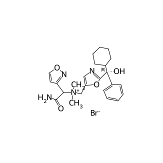 C[N+](C)(Cc1cnc([C@](O)(c2ccccc2)C2CCCCC2)o1)C(C(N)=O)c1ccon1.[Br-]